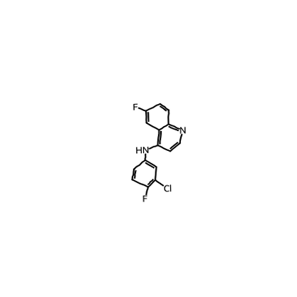 Fc1ccc2nccc(Nc3ccc(F)c(Cl)c3)c2c1